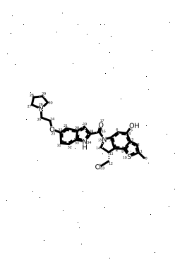 Cc1cc2c(O)cc3c(c2s1)[C@H](CCl)CN3C(=O)c1cc2cc(OCCN3CCCC3)ccc2[nH]1